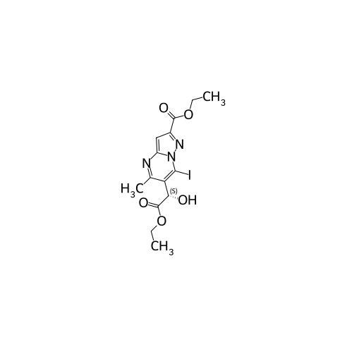 CCOC(=O)c1cc2nc(C)c([C@H](O)C(=O)OCC)c(I)n2n1